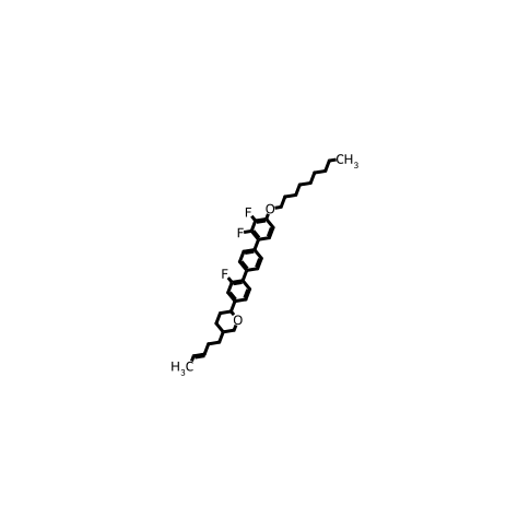 C/C=C/CCC1CCC(c2ccc(-c3ccc(-c4ccc(OCCCCCCCCC)c(F)c4F)cc3)c(F)c2)OC1